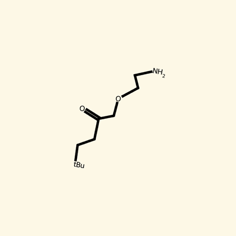 CC(C)(C)CCC(=O)COCCN